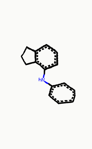 c1ccc(Nc2cccc3c2CCC3)cc1